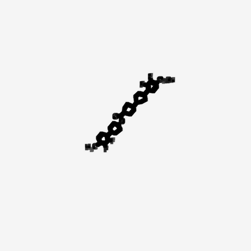 CCCCOc1ccc(C2=CCC(C3CCC(C(=O)OC4CCC(c5ccc(C)c(F)c5F)CC4)CC3)CC2)c(F)c1F